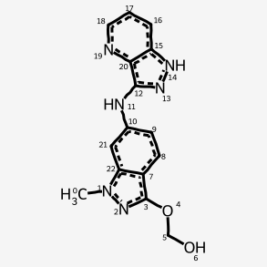 Cn1nc(OCO)c2ccc(Nc3n[nH]c4cccnc34)cc21